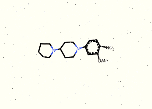 COc1cc(N2CCC(N3CCCCC3)CC2)ccc1[N+](=O)[O-]